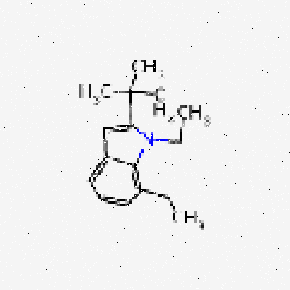 CCc1cccc2cc(C(C)(C)C)n(CC)c12